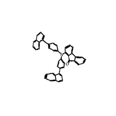 O=C1c2ccccc2-c2cccc(N(c3ccc(-c4cccc5ccccc45)cc3)c3ccc(-c4cccc5ccccc45)cc3)c21